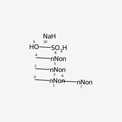 CCCCCCCCCC.CCCCCCCCCC.CCCCCCCCCC.CCCCCCCCCC.O=S(=O)(O)O.[NaH]